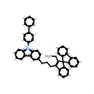 CCC1=C(CCCc2ccc3c(c2)c2ccccc2n3-c2ccc(-c3ccccc3)cc2)c2ccccc2C12c1ccccc1-c1ccccc12